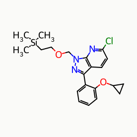 C[Si](C)(C)CCOCn1nc(-c2ccccc2OC2CC2)c2ccc(Cl)nc21